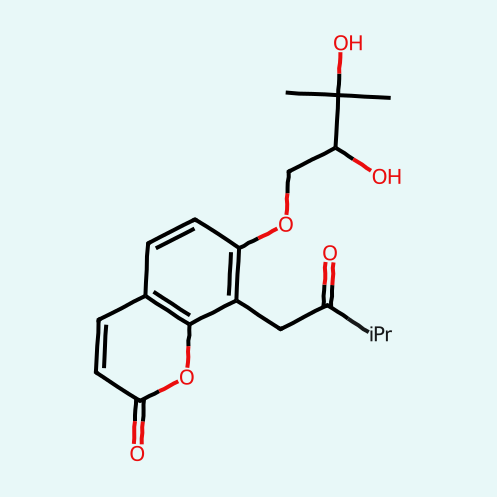 CC(C)C(=O)Cc1c(OCC(O)C(C)(C)O)ccc2ccc(=O)oc12